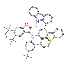 CC(C)(C)c1ccc(N2c3cc4sc5ccccc5c4c4c3B(c3oc5cc6c(cc5c32)C(C)(C)CCC6(C)C)n2c3ccccc3c3cccc-4c32)c(-c2ccccc2)c1